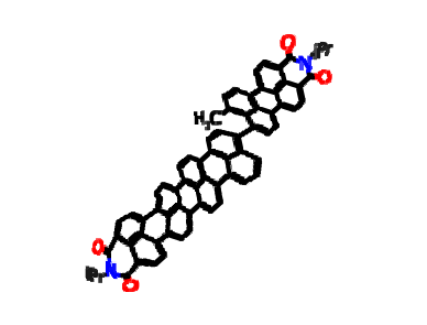 Cc1ccc2c3ccc4c5c(ccc(c6ccc(-c7ccc8c9ccc%10c%11ccc%12c%13ccc%14c%15c(ccc(c%16ccc(c%17ccc(c%18cccc7c%188)c9c%17%10)c%11c%16%12)c%15%13)C(=O)N(C(C)C)C%14=O)c1c26)c53)C(=O)N(C(C)C)C4=O